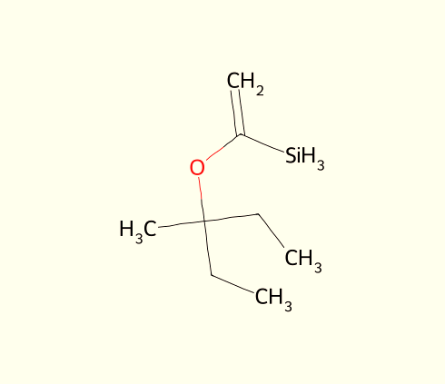 C=C([SiH3])OC(C)(CC)CC